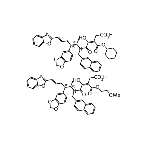 COCCOC(=O)C(CC(=O)O)=C(O)C(=O)N(Cc1ccc2ccccc2c1)[C@H](C)[C@H](CC=Cc1nc2ccccc2o1)c1ccc2c(c1)OCO2.C[C@H]([C@H](CC=Cc1nc2ccccc2o1)c1ccc2c(c1)OCO2)N(Cc1ccc2ccccc2c1)C(=O)C(O)=C(CC(=O)O)C(=O)OC1CCCCC1